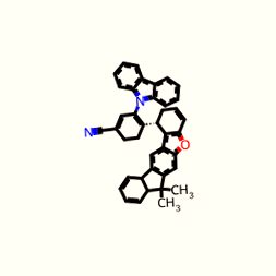 CC1(C)c2cc3oc4c(c3cc2C2C=CC=CC21)[C@H](C1=C(n2c3ccccc3c3ccccc32)C=C(C#N)CC1)CC=C4